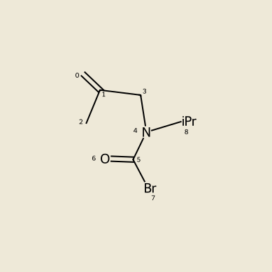 C=C(C)CN(C(=O)Br)C(C)C